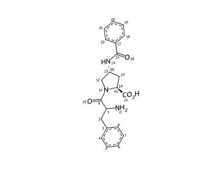 NC(Cc1ccccc1)C(=O)N1C[C@H](NC(=O)c2ccccc2)C[C@H]1C(=O)O